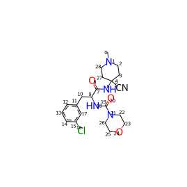 CN1CCC(C#N)(NC(=O)C(Cc2cccc(Cl)c2)NC(=O)N2CCOCC2)CC1